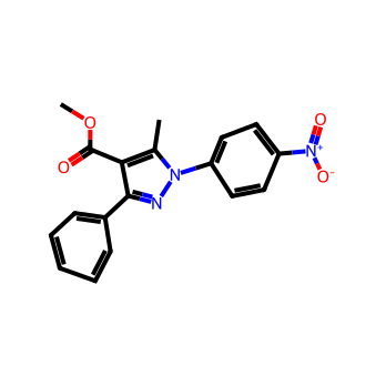 COC(=O)c1c(-c2ccccc2)nn(-c2ccc([N+](=O)[O-])cc2)c1C